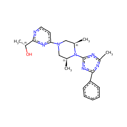 Cc1nc(-c2ccccc2)nc(N2[C@H](C)CN(c3ccnc([C@@H](C)O)n3)C[C@@H]2C)n1